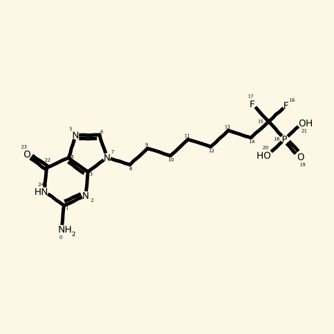 Nc1nc2c(ncn2CCCCCCCC(F)(F)P(=O)(O)O)c(=O)[nH]1